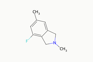 Cc1cc(F)c2c(c1)CN(C)C2